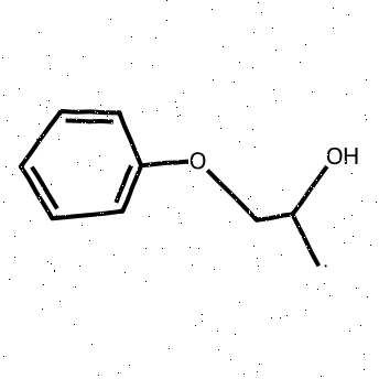 [CH2]C(O)COc1ccccc1